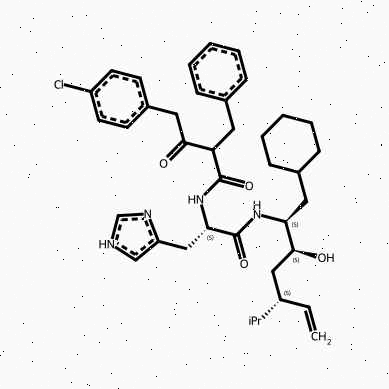 C=C[C@@H](C[C@H](O)[C@H](CC1CCCCC1)NC(=O)[C@H](Cc1c[nH]cn1)NC(=O)C(Cc1ccccc1)C(=O)Cc1ccc(Cl)cc1)C(C)C